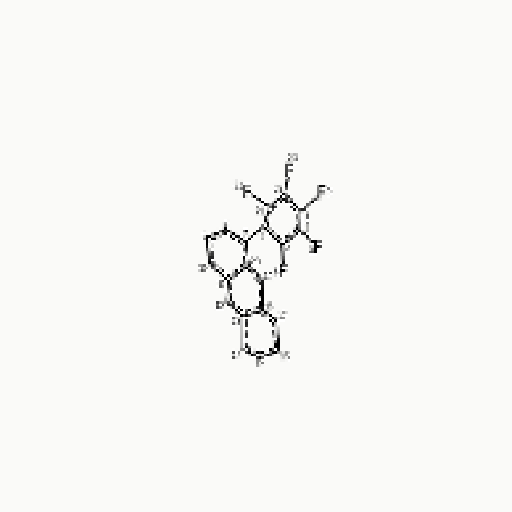 Fc1c(F)c(F)c(-c2cccc3cc4ccccc4cc23)c(F)c1F